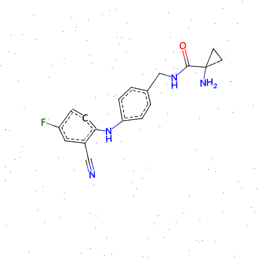 N#Cc1cc(F)ccc1Nc1ccc(CNC(=O)C2(N)CC2)cc1